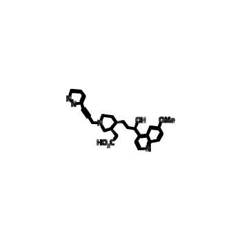 COc1ccc2nccc([C@H](O)CC[C@@H]3CCN(CC#Cc4cccnn4)C[C@@H]3CC(=O)O)c2c1